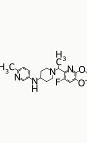 Cc1ccc(NC2CCN(C(C)c3nc4c(cc3F)OCCO4)CC2)cn1